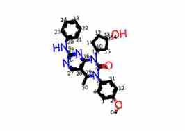 COc1ccc(N2C(=O)N([C@H]3CC[C@H](O)C3)c3nc(Nc4ccccc4)ncc3C2C)cc1